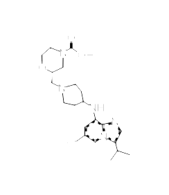 CC(C)c1cnc2c(NC3CCN(C[C@@H]4CN(C(=O)O)CCO4)CC3)cc(Cl)cn12